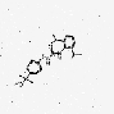 CC(C)c1cccc(C(C)C)c1NC(=O)NSc1ccc(C(C)(C)O)cc1